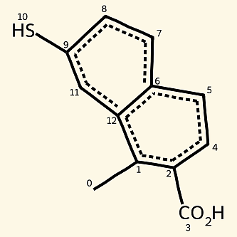 Cc1c(C(=O)O)ccc2ccc(S)cc12